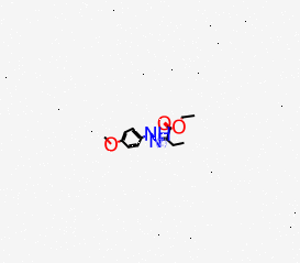 CCOC(=O)/C(CC)=N\Nc1ccc(OC)cc1